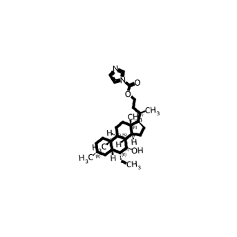 CC[C@H]1[C@@H](O)[C@@H]2[C@H](CC[C@]3(C)[C@@H]([C@H](C)CCOC(=O)n4ccnc4)CC[C@@H]23)[C@@]2(C)CC[C@@H](C)C[C@@H]12